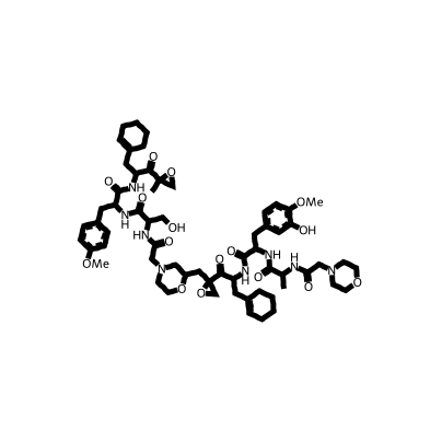 COc1ccc(CC(NC(=O)C(CO)NC(=O)CN2CCOC(CC3(C(=O)C(CC4=CCCCC4)NC(=O)C(Cc4ccc(OC)c(O)c4)NC(=O)C(C)NC(=O)CN4CCOCC4)CO3)C2)C(=O)NC(CC2=CCCCC2)C(=O)C2(C)CO2)cc1